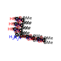 COc1cc(N)cc(OC)c1.COc1cc(N)cc(OC)c1.COc1cc(NC(=O)c2ccc(O)cc2O)cc(OC)c1.COc1cc(NC(=O)c2ccc(O)cc2O)cc(OC)c1.COc1cc(NC(=O)c2ccc(O)cc2O)cc(OC)c1.COc1cc(NC(=O)c2ccc(O)cc2O)cc(OC)c1.COc1cc(NC(=O)c2ccc(O)cc2O)cc(OC)c1